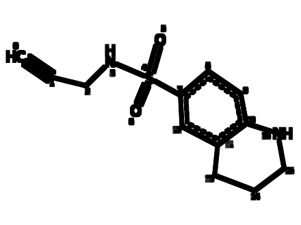 C#CCNS(=O)(=O)c1ccc2c(c1)CCCN2